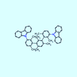 Cc1ccc(-n2c3ccccc3c3ccccc32)c(C)c1-c1c(C)cc(C)c(-c2c(C)ccc(-n3c4ccccc4c4ccccc43)c2C)c1C